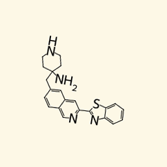 NC1(Cc2ccc3cnc(-c4nc5ccccc5s4)cc3c2)CCNCC1